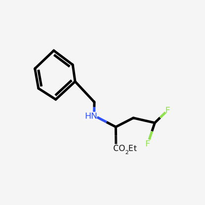 CCOC(=O)C(CC(F)F)NCc1ccccc1